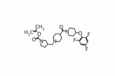 C=C(C)OC(=O)N1CCC(CN2CCC(C(=O)N3CCC(Oc4c(F)cc(F)cc4F)CC3)CC2)C1